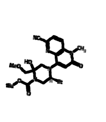 CC[C@H]1CN(C(=O)OC(C)(C)C)C(O)(COC)CN1c1cc(=O)n(C)c2ccc(C#N)nc12